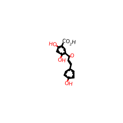 O=C(O)c1cc(C(=O)C=Cc2ccc(O)cc2)c(O)cc1O